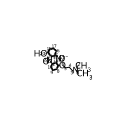 CN(C)CCCOc1cccc2c1[n+]([O-])c1cccc(O)c1[n+]2[O-]